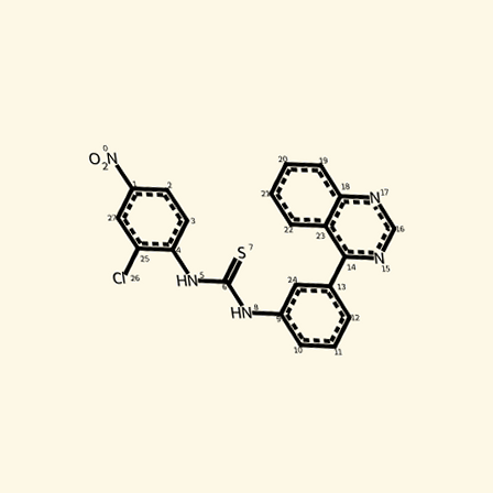 O=[N+]([O-])c1ccc(NC(=S)Nc2cccc(-c3ncnc4ccccc34)c2)c(Cl)c1